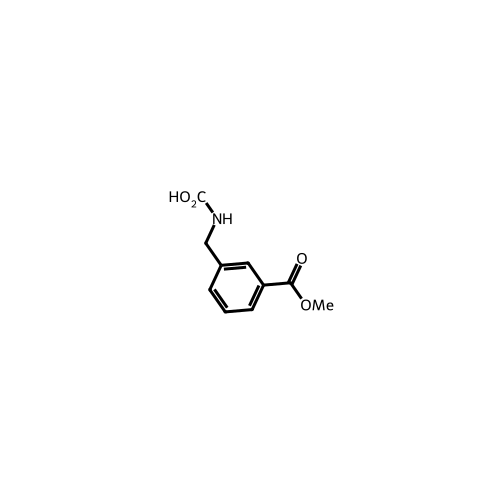 COC(=O)c1cccc(CNC(=O)O)c1